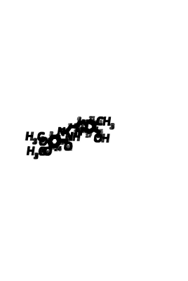 COc1cc2nc(Cc3cn4cc(C)c(CO)cc4n3)[nH]c(=O)c2cc1OC